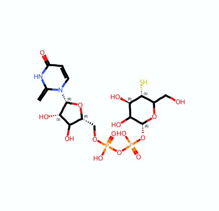 C=C1NC(=O)C=CN1[C@@H]1O[C@H](COP(=O)(O)OP(=O)(O)O[C@H]2OC(CO)[C@@H](S)[C@H](O)C2O)C(O)[C@@H]1O